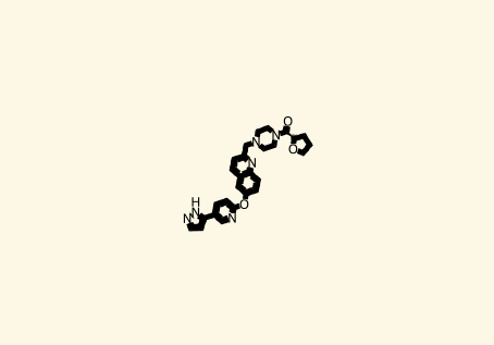 O=C([C@H]1CCCO1)N1CCN(Cc2ccc3cc(Oc4ccc(-c5ccn[nH]5)cn4)ccc3n2)CC1